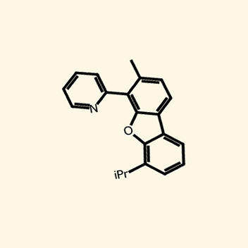 Cc1ccc2c(oc3c(C(C)C)cccc32)c1-c1ccccn1